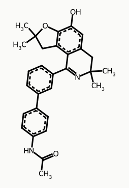 CC(=O)Nc1ccc(-c2cccc(C3=NC(C)(C)Cc4cc(O)c5c(c43)CC(C)(C)O5)c2)cc1